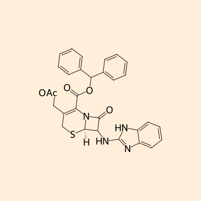 CC(=O)OCC1=C(C(=O)OC(c2ccccc2)c2ccccc2)N2C(=O)C(Nc3nc4ccccc4[nH]3)[C@H]2SC1